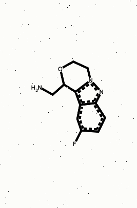 NCC1OCCn2nc3ccc(F)cc3c21